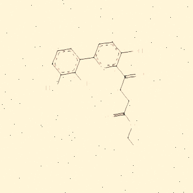 CCOC(=O)CCC(=O)c1nc(-c2cccc(C)c2C)ccc1O